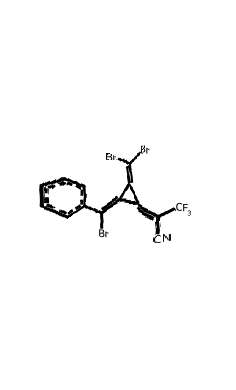 N#C/C(=C1/C(=C(Br)Br)/C1=C(/Br)c1ccccc1)C(F)(F)F